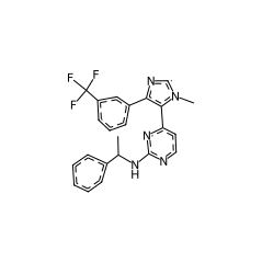 CC(Nc1nccc(-c2c(-c3cccc(C(F)(F)F)c3)n[c]n2C)n1)c1ccccc1